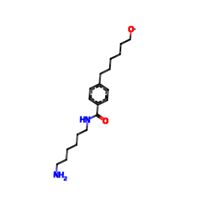 NCCCCCCNC(=O)c1ccc(CCCCCC[O])cc1